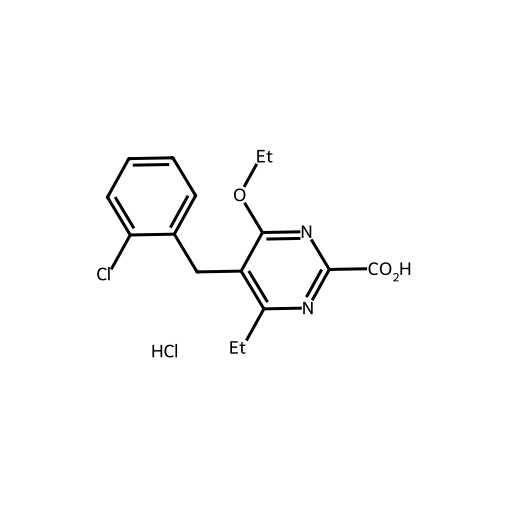 CCOc1nc(C(=O)O)nc(CC)c1Cc1ccccc1Cl.Cl